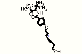 CC(C)(N)[C@H](NC(=O)c1ccc(OC/C=C/C#CCCO)cc1)C(=O)NO